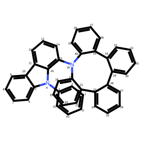 c1ccc(-n2c3ccccc3c3cccc(-n4c5ccccc5c5ccccc5c5ccccc5c5ccccc54)c32)cc1